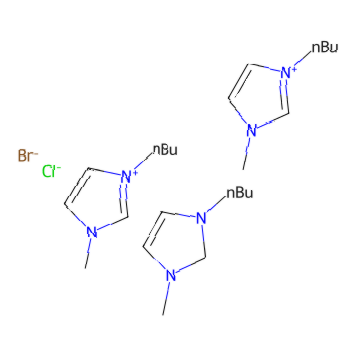 CCCCN1C=CN(C)C1.CCCC[n+]1ccn(C)c1.CCCC[n+]1ccn(C)c1.[Br-].[Cl-]